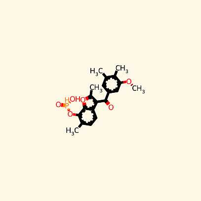 COc1cc(C(=O)c2c(C)oc3c(O[PH](=O)O)c(C)ccc23)cc(C)c1C